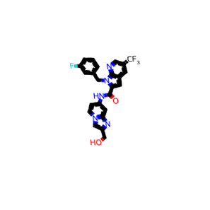 O=C(Nc1ccn2cc(CO)nc2c1)c1cc2cc(C(F)(F)F)cnc2n1Cc1cccc(F)c1